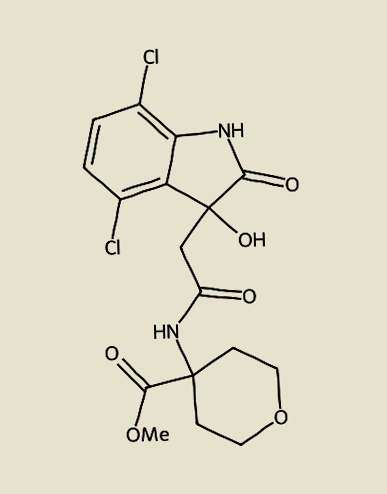 COC(=O)C1(NC(=O)CC2(O)C(=O)Nc3c(Cl)ccc(Cl)c32)CCOCC1